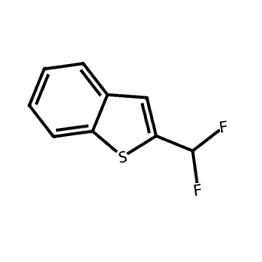 FC(F)c1cc2ccccc2s1